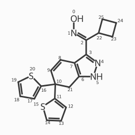 ON=C(c1n[nH]c2c1C=CC(c1cccs1)(c1cccs1)C2)C1CCC1